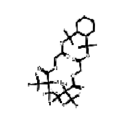 CC(C)(OC(=O)COC(=O)C(O)(C(F)(F)F)C(F)(F)F)C1CCCCC1C(C)(C)OC(=O)COC(=O)C(O)(C(F)(F)F)C(F)(F)F